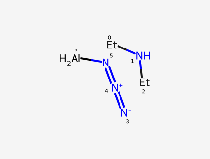 CCNCC.[N-]=[N+]=[N][AlH2]